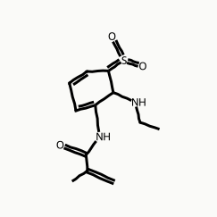 C=C(C)C(=O)NC1=CC=CC(=S(=O)=O)C1NCC